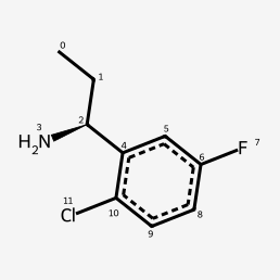 CC[C@H](N)c1cc(F)ccc1Cl